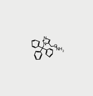 NOCc1cncn1C(c1ccccc1)(c1ccccc1)c1ccccc1